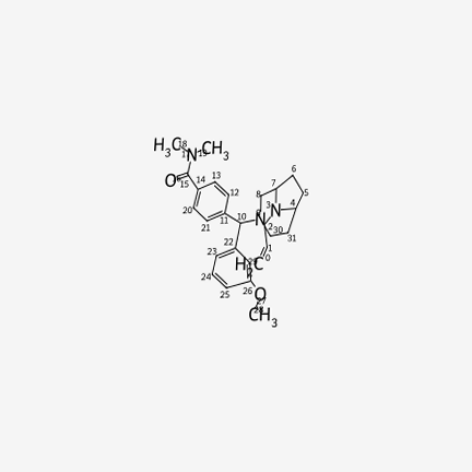 C=CCN1C2CCC1CN(C(c1ccc(C(=O)N(C)C)cc1)c1cccc(OC)c1)CC2